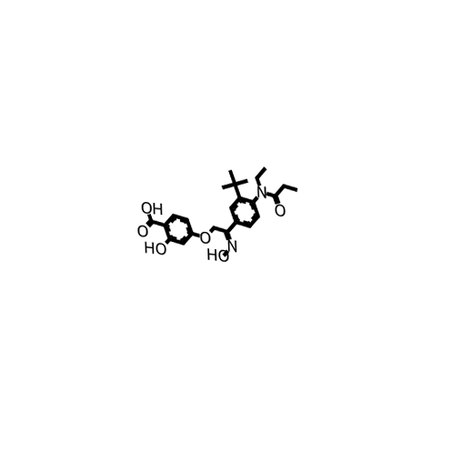 CCC(=O)N(CC)c1ccc(C(COc2ccc(C(=O)O)c(O)c2)=NO)cc1C(C)(C)C